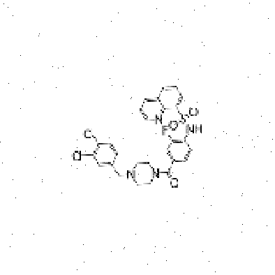 O=C(c1ccc(NS(=O)(=O)c2cccc3cccnc23)c(F)c1)N1CCN(Cc2ccc(Cl)c(Cl)c2)CC1